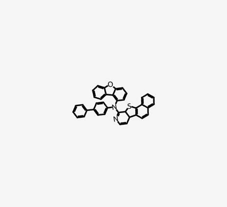 C1=CC2c3ccc4ccccc4c3SC2C(N(c2ccc(-c3ccccc3)cc2)c2cccc3oc4ccccc4c23)=N1